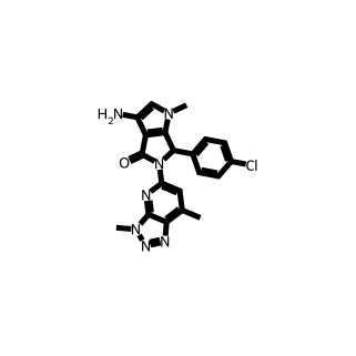 Cc1cc(N2C(=O)c3c(N)cn(C)c3C2c2ccc(Cl)cc2)nc2c1nnn2C